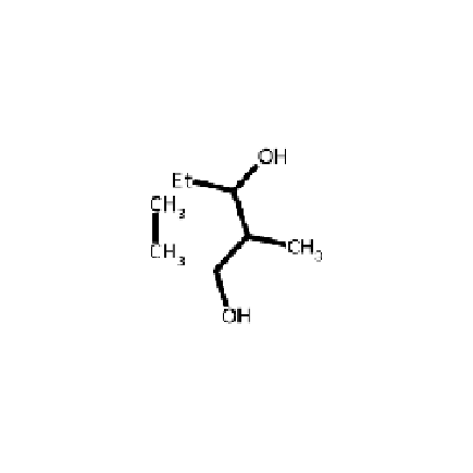 CC.CCC(O)C(C)CO